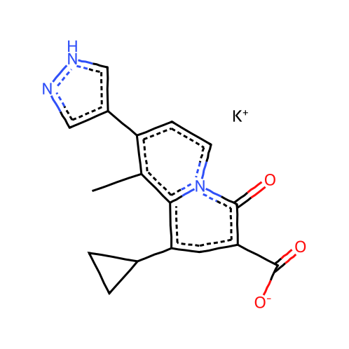 Cc1c(-c2cn[nH]c2)ccn2c(=O)c(C(=O)[O-])cc(C3CC3)c12.[K+]